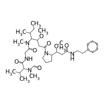 CCC(C)C(C(CC(=O)N1CCCC1C(CC(=O)NCCc1ccccc1)OC)OC)N(C)C(=O)CNC(=O)C(C(C)C)N(C)C=O